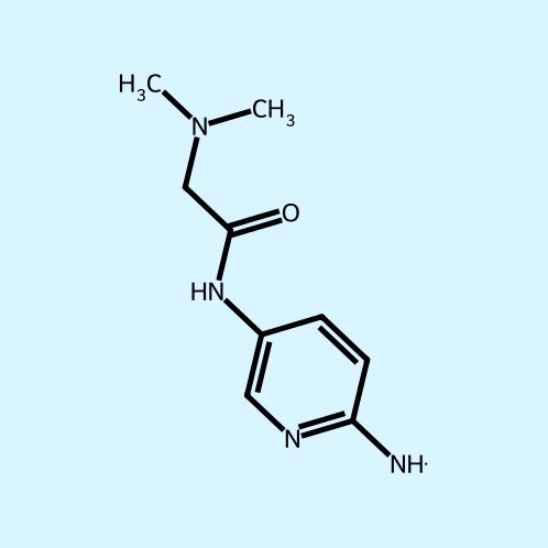 CN(C)CC(=O)Nc1ccc([NH])nc1